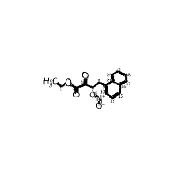 CCOC(=O)C(=O)CCc1c([N+](=O)[O-])ccc2ccccc12